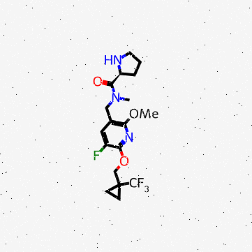 COc1nc(OCC2(C(F)(F)F)CC2)c(F)cc1CN(C)C(=O)[C@@H]1CCCN1